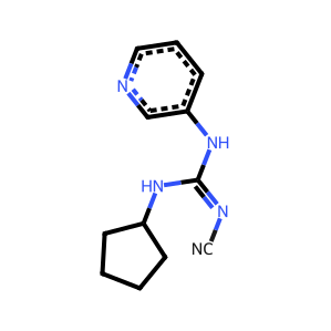 N#CN=C(Nc1cccnc1)NC1CCCC1